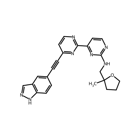 CC1(CNc2nccc(-c3nccc(C#Cc4ccc5[nH]ncc5c4)n3)n2)CCCO1